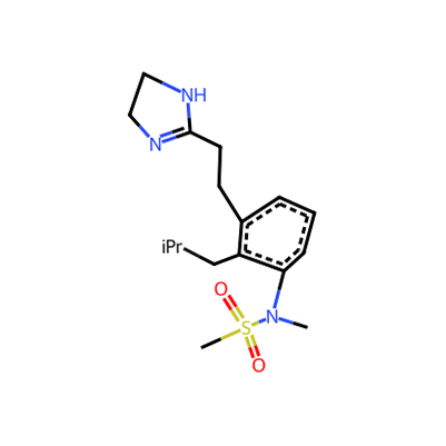 CC(C)Cc1c(CCC2=NCCN2)cccc1N(C)S(C)(=O)=O